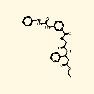 CCOC(=O)CC(NC(=O)CNC(=O)c1cccc(NC(=O)NNc2ccccc2)c1)c1cccnc1